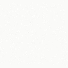 CCC1(c2ccnc(Cl)n2)CC1